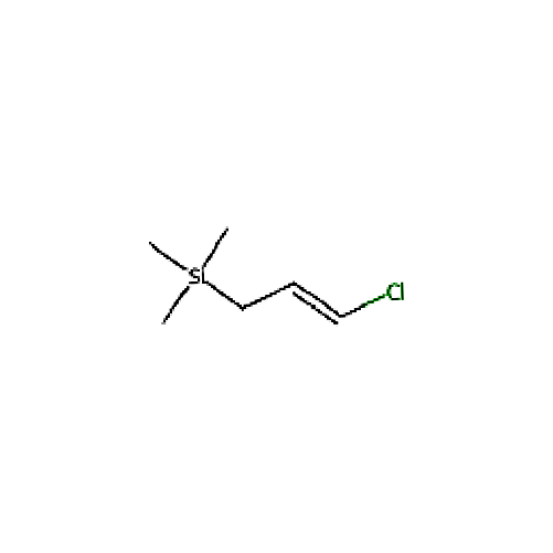 C[Si](C)(C)C/C=C/Cl